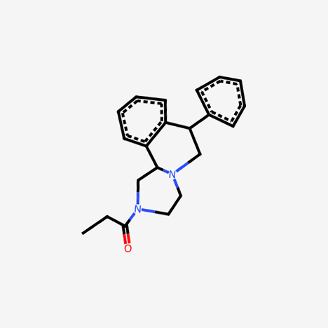 CCC(=O)N1CCN2CC(c3ccccc3)c3ccccc3C2C1